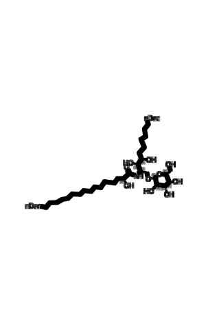 CCCCCCCCCCCCCCCCCCCCCCCC[C@@H](O)C(=O)N[C@@H](CO[C@@H]1O[C@H](CO)[C@H](O)[C@H](O)[C@H]1O)[C@H](O)[C@H](O)CCCCCCCCCCCCCCCC